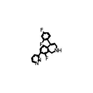 Fc1ccc(C2=CCNCc3c2ccc(-c2cccnn2)c3F)c(F)c1